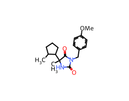 COc1ccc(CN2C(=O)NC(C)(C3CCCC3C)C2=O)cc1